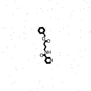 O=C(CCCNC(=O)c1cccnc1)OCc1ccccc1